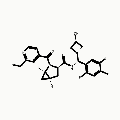 Cc1cc(F)c([C@H](NC(=O)[C@H]2C[C@H]3C[C@H]3N2C(=O)c2ccnc(CF)c2)[C@H]2C[C@H](O)C2)cc1F